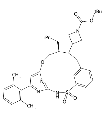 Cc1cccc(C)c1-c1cc2nc(n1)NS(=O)(=O)c1cccc(c1)CC(C1CN(C(=O)OC(C)(C)C)C1)[C@H](CC(C)C)CO2